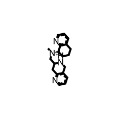 CN(CC1Cc2ncccc2CN1)[C@H]1CCCc2cccnc21